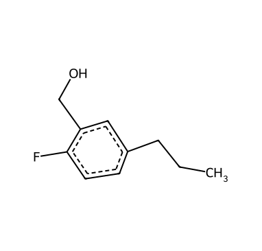 CCCc1ccc(F)c(CO)c1